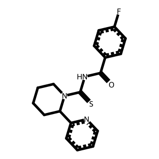 O=C(NC(=S)N1CCCCC1c1ccccn1)c1ccc(F)cc1